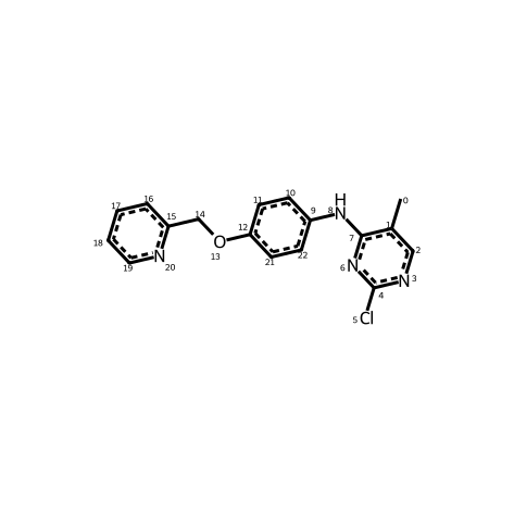 Cc1cnc(Cl)nc1Nc1ccc(OCc2ccccn2)cc1